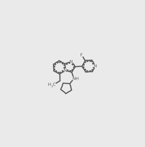 CCc1cccc2nc(-c3ccncc3F)c(NC3CCCC3)n12